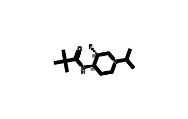 CC(C)N1CC[C@@H](NC(=O)C(C)(C)C)[C@H](F)C1